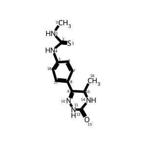 CNC(=S)Nc1ccc(C2=NNC(=O)NC2C)cc1